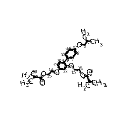 C=C(C)COc1ccc(-c2ccc(OCCOC(=O)C(=C)C)cc2OCCOC(=O)C(=C)C)cc1